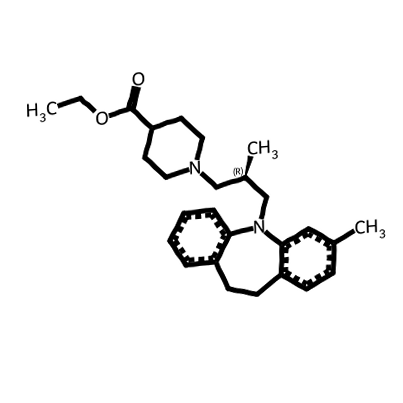 CCOC(=O)C1CCN(C[C@@H](C)CN2c3ccccc3CCc3ccc(C)cc32)CC1